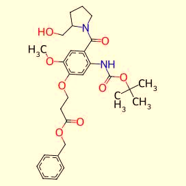 COc1cc(C(=O)N2CCCC2CO)c(NC(=O)OC(C)(C)C)cc1OCCC(=O)OCc1ccccc1